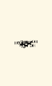 CC(CC(O)C(O)CO)C(O)C(C)(C)CO